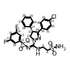 NS(=O)(=O)CCN/C(=N/S(=O)(=O)c1cc(F)cc(F)c1)N1C[C@@H](c2ccccc2)C(c2ccc(Cl)cc2)=N1